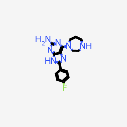 Nc1nc(N2CCCNCC2)c2nc(-c3ccc(F)cc3)[nH]c2n1